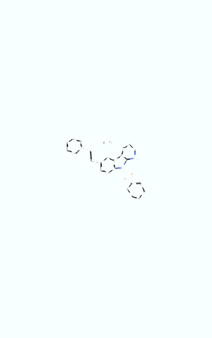 CCCCCc1ccnc2c1c1cc(C=Cc3ccccc3)ccc1n2S(=O)(=O)c1ccccc1